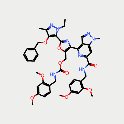 CCn1nc(C)c(OCc2ccccc2)c1-c1nc(-c2nc(C(=O)NCc3ccc(OC)cc3OC)cc3c2cnn3C)c(COC(=O)NCc2ccc(OC)cc2OC)o1